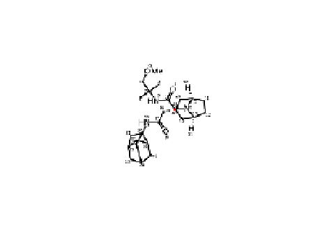 COCC(C)(C)NC(=O)CN1[C@@H]2CC[C@H]1C[C@H](CC(=O)NC13CC4CC(CC1C4)C3)C2